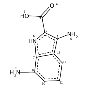 Nc1c(C(=O)O)[nH]c2c(N)cccc12